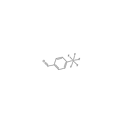 O=[C]c1ccc(S(F)(F)(F)(F)F)cc1